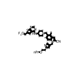 CCCOCCn1cc(Cn2c(C#N)cc3c(C)c(CN4CCC(Nc5ncnc6sc(CC(F)(F)F)cc56)CC4)ccc32)cn1